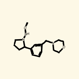 COBN1CCCC1c1cccc(CN2CCOCC2)c1